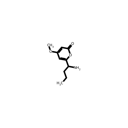 CCCC(N)c1cc(OC)cc(=O)o1